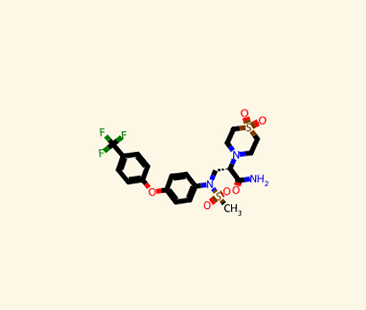 CS(=O)(=O)N(C[C@@H](C(N)=O)N1CCS(=O)(=O)CC1)c1ccc(Oc2ccc(C(F)(F)F)cc2)cc1